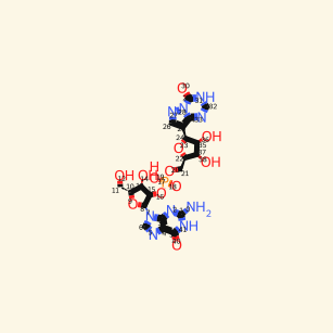 Nc1nc2c(ncn2[C@@H]2O[C@H](CO)[C@H](O)C2OP(=O)(O)OC[C@H]2O[C@@H](c3cnn4c(=O)[nH]cnc34)[C@@H](O)[C@H]2O)c(=O)[nH]1